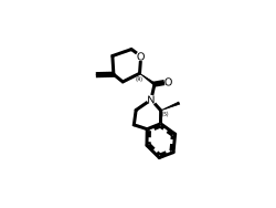 C=C1CCO[C@@H](C(=O)N2CCc3ccccc3[C@@H]2C)C1